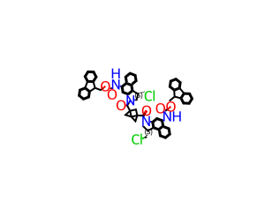 O=C(Nc1cc2c(c3ccccc13)[C@H](CCl)CN2C(=O)C12CC3(C(=O)N4C[C@@H](CCl)c5c4cc(NC(=O)OCC4c6ccccc6-c6ccccc64)c4ccccc54)CC13C2)OCC1c2ccccc2-c2ccccc21